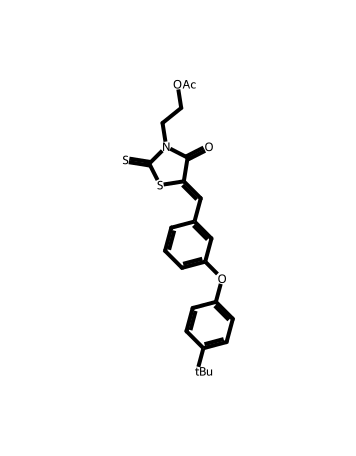 CC(=O)OCCN1C(=O)/C(=C/c2cccc(Oc3ccc(C(C)(C)C)cc3)c2)SC1=S